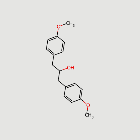 COc1ccc(CC(O)Cc2ccc(OC)cc2)cc1